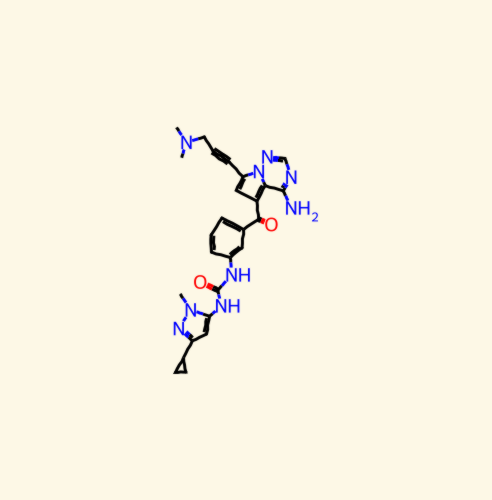 CN(C)CC#Cc1cc(C(=O)c2cccc(NC(=O)Nc3cc(C4CC4)nn3C)c2)c2c(N)ncnn12